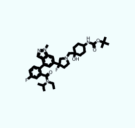 CCN(C(=O)c1cc(F)ccc1-c1cc(C2(F)CCN(CC3(O)CCC(NC(=O)OC(C)(C)C)CC3)C2)cc2c1cnn2C)C(C)C